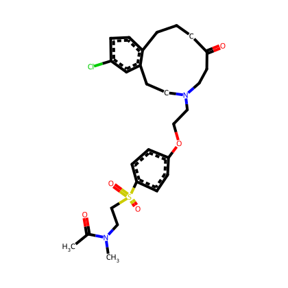 CC(=O)N(C)CCS(=O)(=O)c1ccc(OCCN2CCC(=O)CCCc3ccc(Cl)cc3CC2)cc1